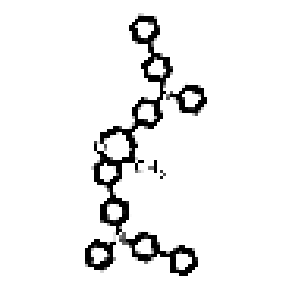 C=C1/C=C(C2=CC=C(N(c3ccccc3)c3ccc(-c4ccccc4)cc3)CC2)\C=C/Oc2ccc(-c3ccc(N(c4ccccc4)c4ccc(-c5ccccc5)cc4)cc3)cc21